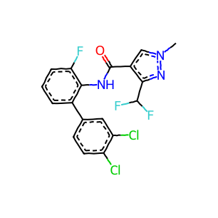 Cn1cc(C(=O)Nc2c(F)cccc2-c2ccc(Cl)c(Cl)c2)c(C(F)F)n1